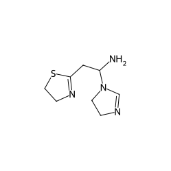 NC(CC1=NCCS1)N1C=NCC1